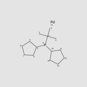 CC(C)(C)P(C1CCCC1)C1CCCC1.[Pd]